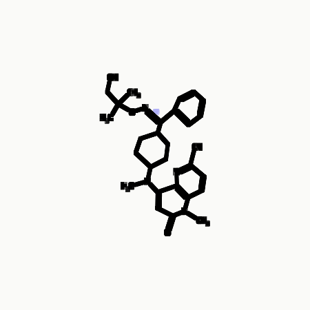 CN(c1cc(=O)n(C)c2ccc(C#N)nc12)C1CCC(/C(=N\OC(C)(C)CO)c2ccccc2)CC1